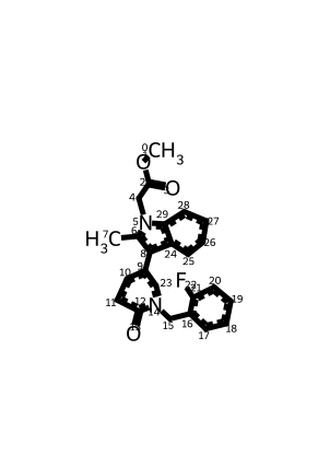 COC(=O)Cn1c(C)c(-c2ccc(=O)n(Cc3ccccc3F)c2)c2ccccc21